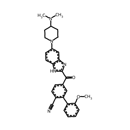 COc1ccccc1-c1cc(C(=O)c2nc3cc(N4CCC(N(C)C)CC4)ccc3[nH]2)ccc1C#N